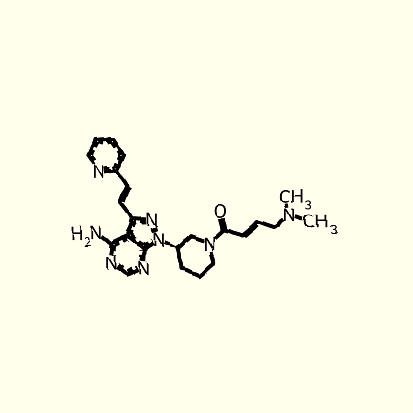 CN(C)C/C=C/C(=O)N1CCC[C@@H](n2nc(/C=C/c3ccccn3)c3c(N)ncnc32)C1